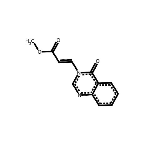 COC(=O)C=Cn1cnc2ccccc2c1=O